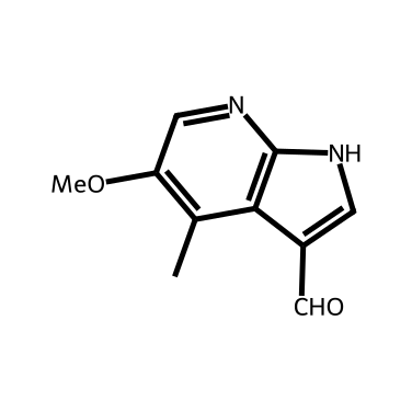 COc1cnc2[nH]cc(C=O)c2c1C